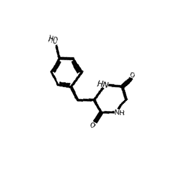 O=C1CNC(=O)C(Cc2ccc(O)cc2)N1